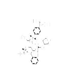 CC(C)CN(C[C@@H](OP(=O)(O)O)[C@H](Cc1ccccc1)NC(=O)O[C@H]1CCOC1)S(=O)(=O)c1ccc(B(O)O)cc1